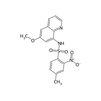 COc1cc(NS(=O)(=O)c2ccc(C)cc2[N+](=O)[O-])c2ncccc2c1